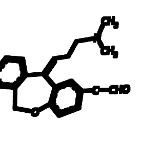 CN(C)CCC=C1c2ccccc2COc2ccc(CC=O)cc21